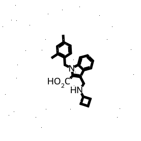 Cc1ccc(Cn2c(C(=O)O)c(CNC3CCC3)c3ccccc32)c(C)c1